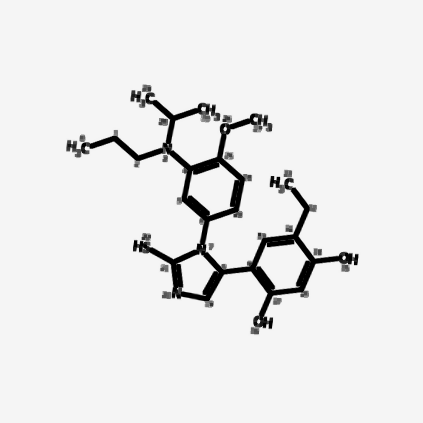 CCCN(c1cc(-n2c(-c3cc(CC)c(O)cc3O)cnc2S)ccc1OC)C(C)C